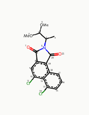 COC(OC)C(C)N1C(=O)c2cc(Cl)c3c(Cl)cccc3c2C1=O